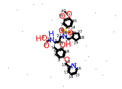 O=C(O)N[C@@H](Cc1ccc(OCc2ccccn2)cc1)[C@@H](O)CN(CC1CCCC1)S(=O)(=O)c1ccc2c(c1)OCO2